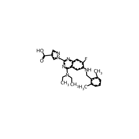 CCN(CC)c1nc(-n2cc(C(=O)O)cn2)nc2cc(F)c(NCc3c(C)cccc3C)cc12